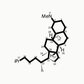 CNC1CCC2CC[C@H]3[C@@H]4CC[C@H]([C@H](C)CCCC(C)C)[C@@]4(C)CC[C@@H]3[C@@]2(C)C1